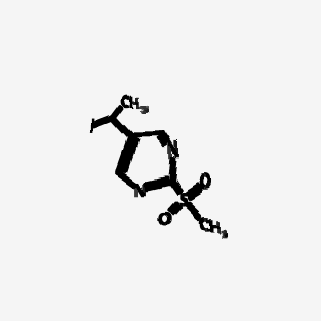 CC(I)c1cnc(S(C)(=O)=O)nc1